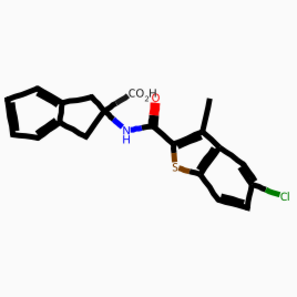 Cc1c(C(=O)NC2(C(=O)O)Cc3ccccc3C2)sc2ccc(Cl)cc12